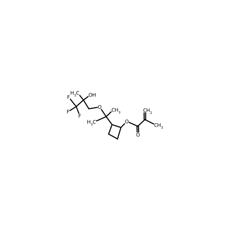 C=C(C)C(=O)OC1CCC1C(C)(C)OCC(C)(O)C(F)(F)F